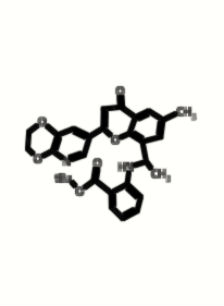 Cc1cc(C(C)Nc2ccccc2C(=O)OC(C)(C)C)c2oc(-c3cnc4c(c3)OCCO4)cc(=O)c2c1